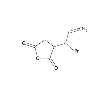 C=CC(C(C)C)C1CC(=O)OC1=O